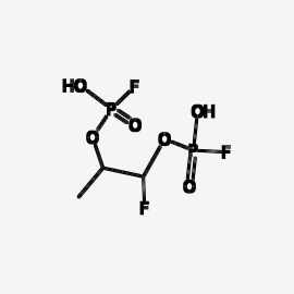 CC(OP(=O)(O)F)C(F)OP(=O)(O)F